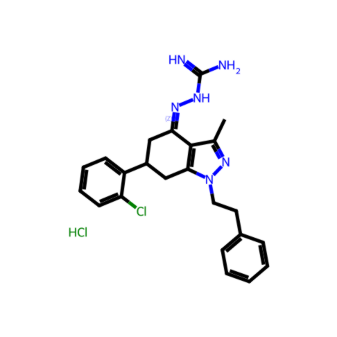 Cc1nn(CCc2ccccc2)c2c1/C(=N\NC(=N)N)CC(c1ccccc1Cl)C2.Cl